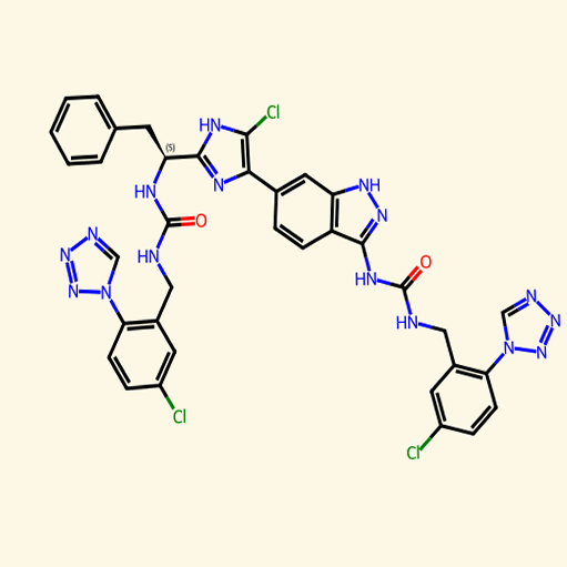 O=C(NCc1cc(Cl)ccc1-n1cnnn1)Nc1n[nH]c2cc(-c3nc([C@H](Cc4ccccc4)NC(=O)NCc4cc(Cl)ccc4-n4cnnn4)[nH]c3Cl)ccc12